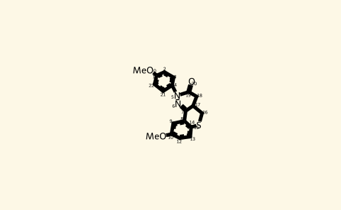 COc1ccc(N2N=C3c4cc(OC)ccc4SCC3CC2=O)cc1